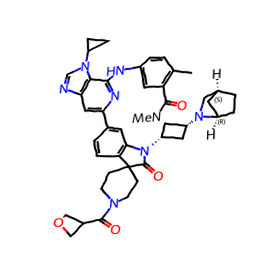 CNC(=O)c1cc(Nc2nc(-c3ccc4c(c3)N([C@H]3C[C@@H](N5C[C@H]6CC[C@@H]5C6)C3)C(=O)C43CCN(C(=O)C4COC4)CC3)cc3ncn(C4CC4)c23)ccc1C